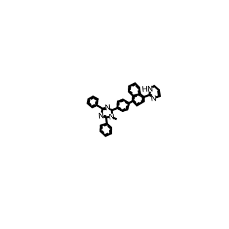 CN1C(c2ccccc2)=NC(c2ccccc2)=NC1c1ccc(-c2ccc(C3=NC=CCN3)c3ccccc23)cc1